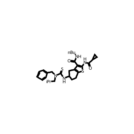 CCCCNC(=O)c1c(NC(=O)C2CC2)sc2c1CC(NC(=S)N(Cc1ccccc1)CC(C)C)CC2